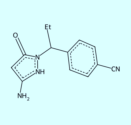 CCC(c1ccc(C#N)cc1)n1[nH]c(N)cc1=O